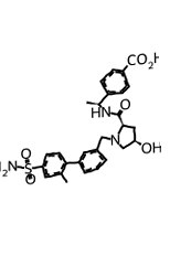 Cc1cc(S(N)(=O)=O)ccc1-c1cccc(CN2C[C@H](O)C[C@@H]2C(=O)N[C@@H](C)c2ccc(C(=O)O)cc2)c1